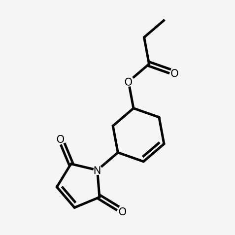 CCC(=O)OC1CC=CC(N2C(=O)C=CC2=O)C1